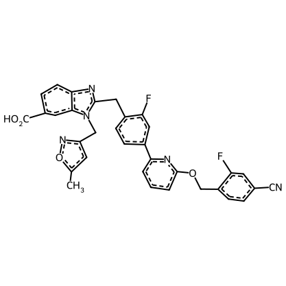 Cc1cc(Cn2c(Cc3ccc(-c4cccc(OCc5ccc(C#N)cc5F)n4)cc3F)nc3ccc(C(=O)O)cc32)no1